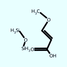 COC=CC(=O)O.[SiH3]O[SiH3]